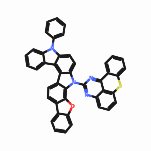 c1ccc(-n2c3ccccc3c3c4c5ccc6c7ccccc7oc6c5n(-c5nc6c7c(cccc7n5)Sc5ccccc5-6)c4ccc32)cc1